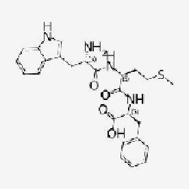 CSCC[C@H](NC(=O)[C@@H](N)Cc1c[nH]c2ccccc12)C(=O)N[C@@H](Cc1ccccc1)C(=O)O